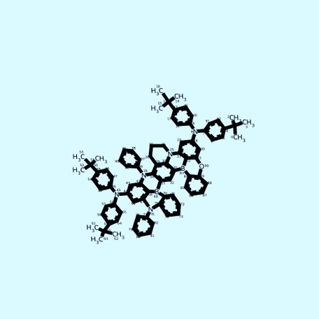 CC(C)(C)c1ccc(N(c2ccc(C(C)(C)C)cc2)c2cc3c4c(c2)N2CCCc5c2c(cc2c5N(c5ccccc5)c5cc(N(c6ccc(C(C)(C)C)cc6)c6ccc(C(C)(C)C)cc6)cc6c5B2c2ccccc2N6c2ccccc2)B4c2ccccc2O3)cc1